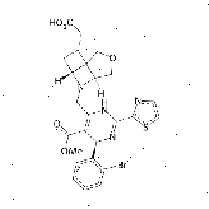 COC(=O)C1=C(CN2[C@@H]3COCC34[C@@H](CC(=O)O)C[C@@H]24)NC(c2nccs2)=N[C@H]1c1ccccc1Br